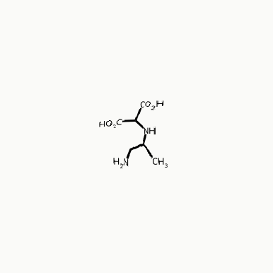 CC(CN)NC(C(=O)O)C(=O)O